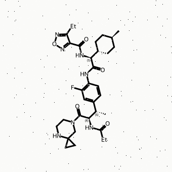 CCC(=O)N[C@@H](C(=O)N1CCNC2(CC2)C1)[C@@H](C)c1ccc(NC(=O)[C@@H](NC(=O)c2nonc2CC)[C@H]2CC[C@H](C)CC2)c(F)c1